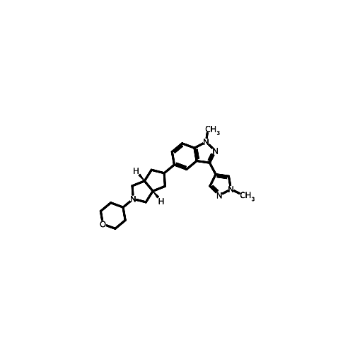 Cn1cc(-c2nn(C)c3ccc(C4C[C@@H]5CN(C6CCOCC6)C[C@@H]5C4)cc23)cn1